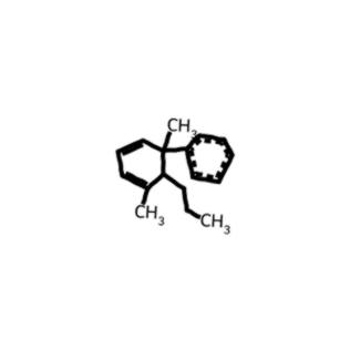 CCCC1C(C)=CC=CC1(C)c1ccccc1